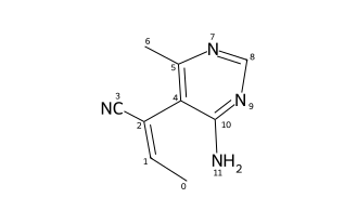 C/C=C(/C#N)c1c(C)ncnc1N